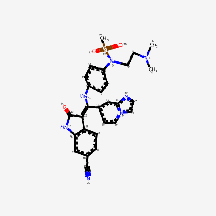 CN(C)CCN(c1ccc(N/C(=C2\C(=O)Nc3cc(C#N)ccc32)c2ccn3ccnc3c2)cc1)S(C)(=O)=O